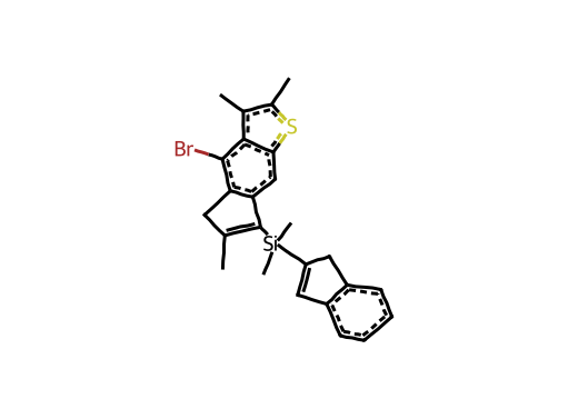 CC1=C([Si](C)(C)C2=Cc3ccccc3C2)c2cc3sc(C)c(C)c3c(Br)c2C1